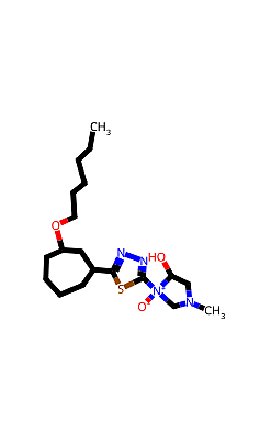 CCCCCCOC1CCCCC(c2nnc([N+]3([O-])CN(C)CC3O)s2)C1